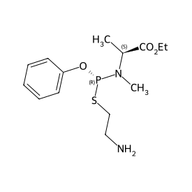 CCOC(=O)[C@H](C)N(C)[P@@](Oc1ccccc1)SCCN